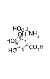 NCCO.O=C(O)C1=CC(O)C(O)C(O)C1